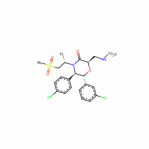 CC[C@@H](CS(=O)(=O)C(C)(C)C)N1C(=O)[C@@H](CNC(=O)O)O[C@H](c2cccc(Cl)c2)[C@H]1c1ccc(Cl)cc1